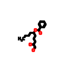 CCCCC(CCCC(=O)C=O)OC(=O)c1ccccc1